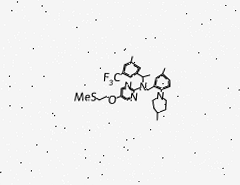 CSCCOc1cnc(N(Cc2cc(C)ccc2N2CCC(C)CC2)C(C)c2cc(C)cc(C(F)(F)F)c2)nc1